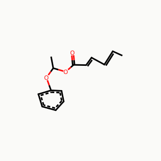 C/C=C/C=C/C(=O)OC(C)Oc1ccccc1